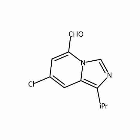 CC(C)c1ncn2c(C=O)cc(Cl)cc12